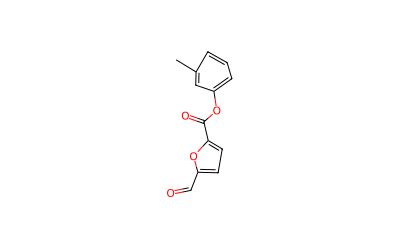 Cc1cccc(OC(=O)c2ccc(C=O)o2)c1